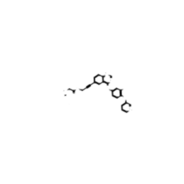 CN(C)CC(=O)NCC#Cc1ccc2ncnc(Nc3ccc(Oc4cccnc4)c(Cl)c3)c2c1